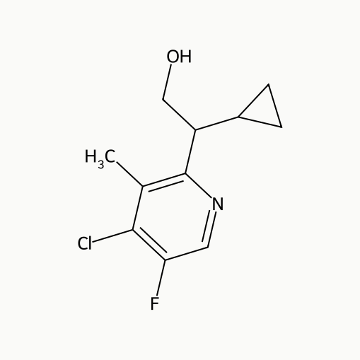 Cc1c(C(CO)C2CC2)ncc(F)c1Cl